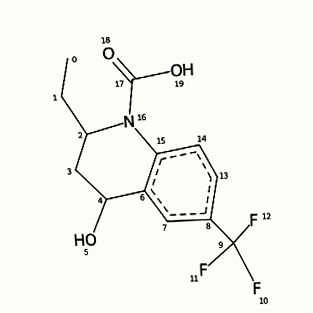 CCC1CC(O)c2cc(C(F)(F)F)ccc2N1C(=O)O